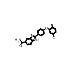 Cc1ccc(Cl)cc1Oc1ccc(-c2nc3cc(C(N)=O)ccc3[nH]2)cc1